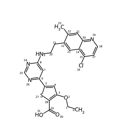 CCOc1cc(-c2cc(NCCc3cc4c(Cl)ccnc4cc3C)ncn2)sc1C(=O)O